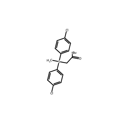 CC(C)(C)C(=O)CS(C)(c1ccc(Cl)cc1)c1ccc(Cl)cc1